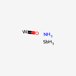 N.[O]=[W].[SbH3]